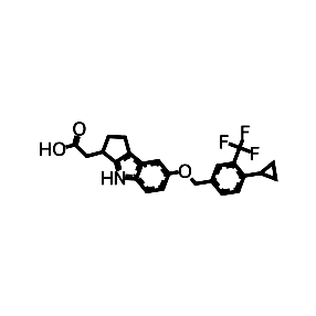 O=C(O)CC1CCc2c1[nH]c1ccc(OCc3ccc(C4CC4)c(C(F)(F)F)c3)cc21